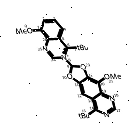 COc1cccc2c(C(C)(C)C)[n+](C3Oc4cc5c(C(C)(C)C)ncnc5c(OC)c4O3)cnc12